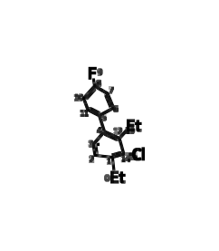 CCc1c[c]c(-c2ccc(F)cc2)c(CC)c1Cl